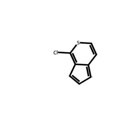 Clc1sccc2[c]ccc1-2